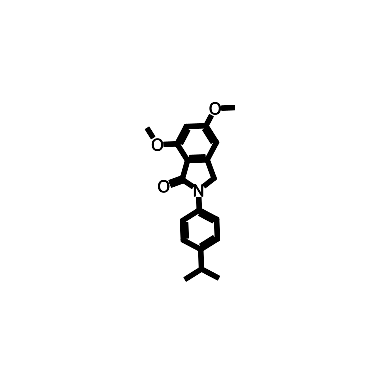 COc1cc2c(c(OC)c1)C(=O)N(c1ccc(C(C)C)cc1)C2